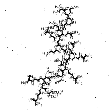 CC[C@H](C)[C@H](NC(=O)[C@H](CCCNC(=N)N)NC(=O)[C@H](CC(N)=O)NC(=O)[C@H](CCCCN)NC(=O)[C@H](CCCNC(=N)N)NC(=O)[C@H](CCC(N)=O)NC(=O)[C@@H](NC(=O)[C@H](CS)NC(=O)[C@H](CCSC)NC(=O)[C@H](C)N)[C@@H](C)O)C(=O)N[C@@H](CCCNC(=N)N)C(=O)N[C@@H](CC(C)C)C(=O)N[C@@H](CS)C(=O)N[C@@H](CCCNC(=N)N)C(=O)N[C@@H](CCCNC(=N)N)C(=O)N[C@@H](CC(=O)O)C(=O)O